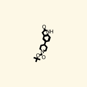 CC(C)(C)OC(=O)N1CCC(c2ccc3c(c2)CC(=O)N3)CC1